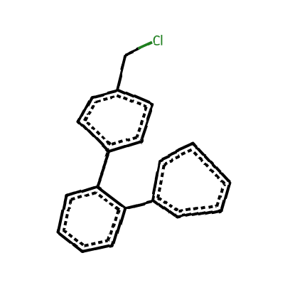 ClCc1ccc(-c2ccccc2-c2ccccc2)cc1